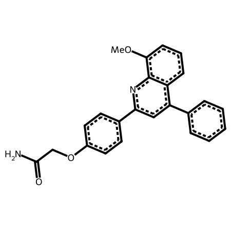 COc1cccc2c(-c3ccccc3)cc(-c3ccc(OCC(N)=O)cc3)nc12